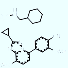 COc1cc(-c2ccc(OC)c3nc(C4CC4)nn23)ccc1C#N.O=C(O)NCC1CCCCC1